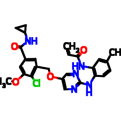 C=CC(=O)Nc1cc(C)ccc1Nc1ncc(OCc2cc(C(=O)NC3CC3)cc(OC)c2Cl)cn1